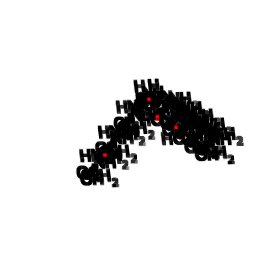 N=C(N)NCCC[C@H](N)C(=O)O.N=C(N)NCCC[C@H](N)C(=O)O.N=C(N)NCCC[C@H](N)C(=O)O.N=C(N)NCCC[C@H](N)C(=O)O.N=C(N)NCCC[C@H](N)C(=O)O.N=C(N)NCCC[C@H](N)C(=O)O.N=C(N)NCCC[C@H](N)C(=O)O.N=C(N)NCCC[C@H](N)C(=O)O.c1cc[nH]c1.c1cc[nH]c1.c1cc[nH]c1